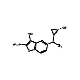 CCCCCc1oc2ccc(C(C)C3C[C@@H]3O)cc2c1C(C)(C)C